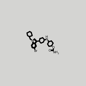 NC(=O)OC1CCC(NC2CCC(c3cn(CC4CCCCC4)c4ccc(Br)cc34)CC2)CC1